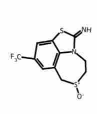 N=c1sc2cc(C(F)(F)F)cc3c2n1CC[S+]([O-])C3